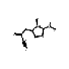 C=C(C#N)CC1CCC(NC)B1C